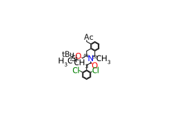 CC(=O)Cc1cccc2c1C[C@H](CO[Si](C)(C)C(C)(C)C)N(C(=O)Cc1c(Cl)cccc1Cl)[C@H]2C